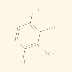 CNc1c(Cl)ccc([SiH3])c1C(C)(C)C